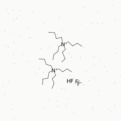 CCCC[N+](CCCC)(CCCC)CCCC.CCCC[N+](CCCC)(CCCC)CCCC.F.[F-].[F-]